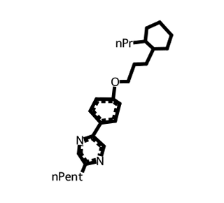 CCCCCc1cnc(-c2ccc(OCCCC3CCCCC3CCC)cc2)cn1